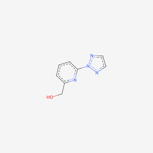 OCc1cccc(-n2nccn2)n1